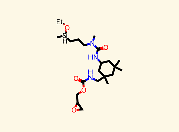 CCO[SiH](C)CCCN(C)C(=O)NC1CC(C)(C)CC(C)(CNC(=O)OCC2CO2)C1